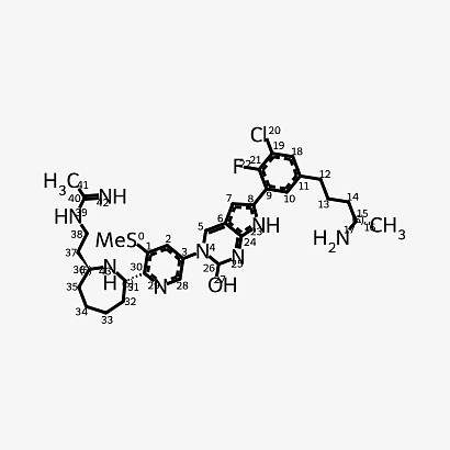 CSc1cc(N2C=c3cc(-c4cc(CCC[C@H](C)N)cc(Cl)c4F)[nH]c3=NC2O)cnc1[C@@H]1CCCC[C@@H](CCNC(C)=N)N1